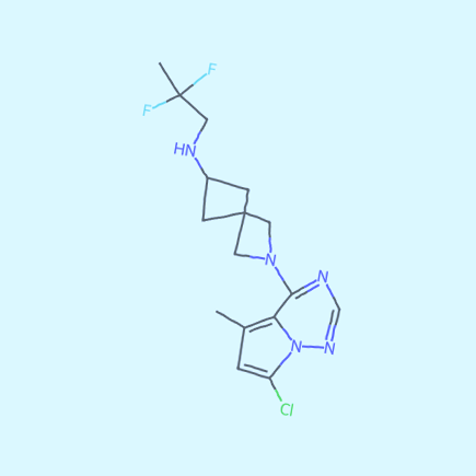 Cc1cc(Cl)n2ncnc(N3CC4(CC(NCC(C)(F)F)C4)C3)c12